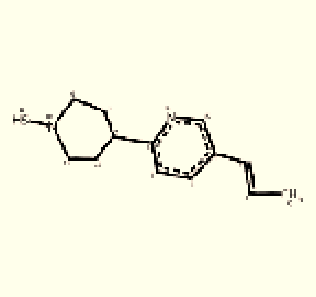 C/C=C/c1ccc(C2CCN(S)CC2)nc1